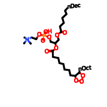 CCCCCCCCCCCCCCCC(=O)OCC(COP(=O)(O)OCC[N+](C)(C)C)OC(=O)CCCCCCCC1OOOC1CCCCCCCC